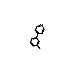 Cc1c[c]cc(-c2ccncc2)c1